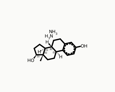 C[C@]12CC[C@@H]3c4ccc(O)cc4CC[C@H]3[C@@H]1CC[C@@H]2O.N.N